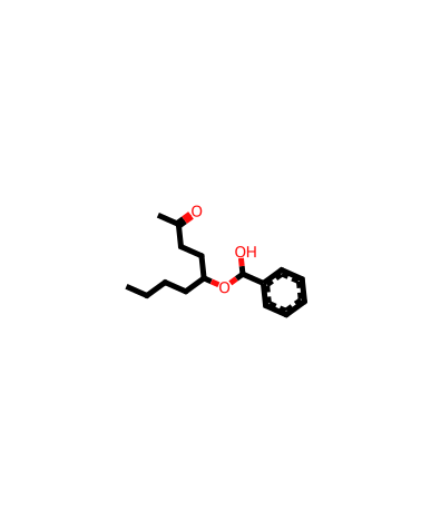 CCCCC(CCC(C)=O)OC(O)c1ccccc1